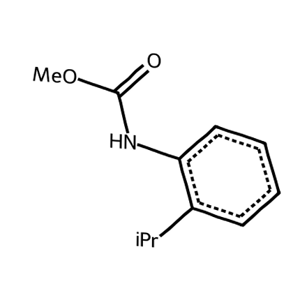 [CH2]OC(=O)Nc1ccccc1C(C)C